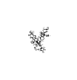 C=CCN1CC(=O)N2[C@@H](Cc3ccc(O)cc3)C(=O)N(Cc3cccc(OC)c3OS(=O)(=O)c3ccc(Cl)cc3)C[C@@H]2N1C(=O)NCc1ccccc1